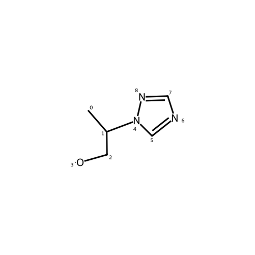 CC(C[O])n1cncn1